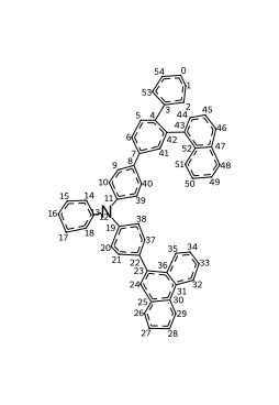 c1ccc(-c2ccc(-c3ccc(N(c4ccccc4)c4ccc(-c5cc6ccccc6c6ccccc56)cc4)cc3)cc2-c2cccc3ccccc23)cc1